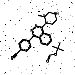 CC(C)(C)OC=O.C[C@H]1CNCCN1c1nnc(-c2ccc(C#N)cc2)c2ccccc12